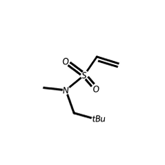 C=CS(=O)(=O)N(C)CC(C)(C)C